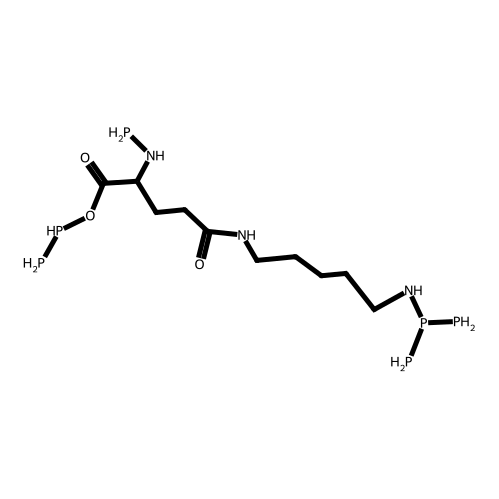 O=C(CCC(NP)C(=O)OPP)NCCCCCNP(P)P